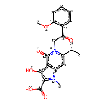 CCc1cc2c(c(O)c(C(=O)O)n2C)c(=O)n1CC(=O)c1ccccc1OC